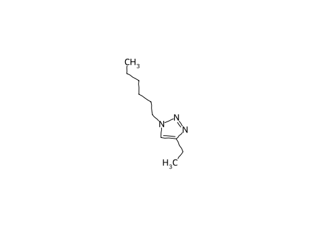 CCCCCCn1cc(CC)nn1